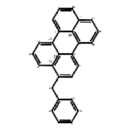 c1ccc(Cc2ccc3c4cccc5cccc(c6cccc2c63)c54)cc1